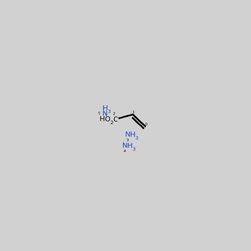 C=CC(=O)O.N.N.N